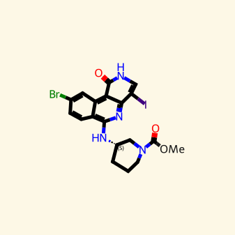 COC(=O)N1CCC[C@H](Nc2nc3c(I)c[nH]c(=O)c3c3cc(Br)ccc23)C1